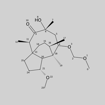 COCOC1C[C@@](C)(O)C(=O)[C@H](C)C23CC[C@@H](C)[C@]1(C)C2[C@H](OC)CC3